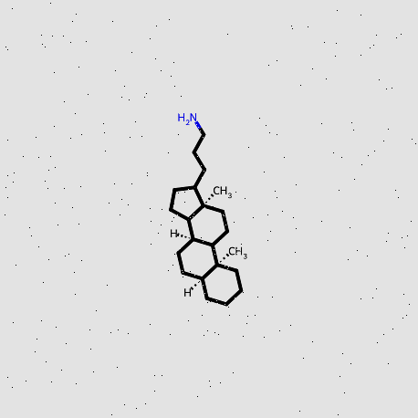 C[C@]12CCC3[C@@H](CC[C@@H]4CCCC[C@]34C)C1CCC2CCCN